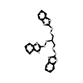 c1ccc2sc(SSCC(CSSc3nc4ccccc4s3)SSc3nc4ccccc4s3)nc2c1